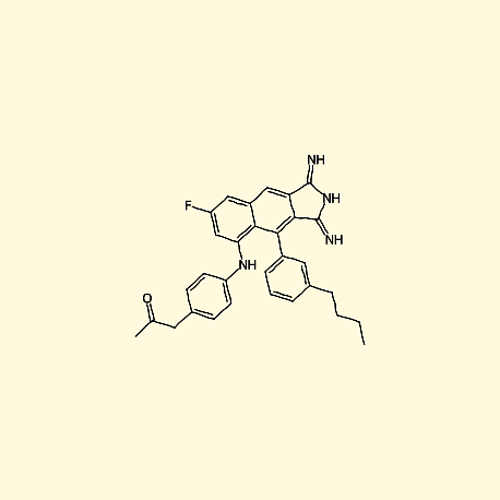 CCCCc1cccc(-c2c3c(cc4cc(F)cc(Nc5ccc(CC(C)=O)cc5)c24)C(=N)NC3=N)c1